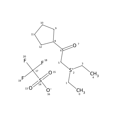 CC[S+](CC)CC(=O)C1CCCC1.O=S(=O)([O-])C(F)(F)F